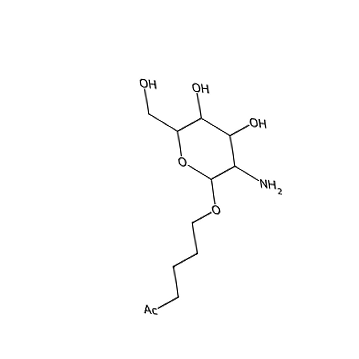 CC(=O)CCCCOC1OC(CO)C(O)C(O)C1N